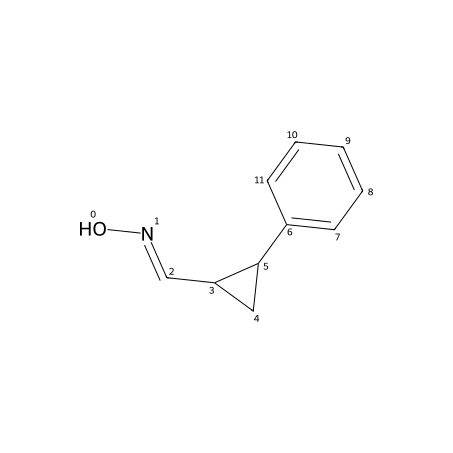 ON=CC1CC1c1ccccc1